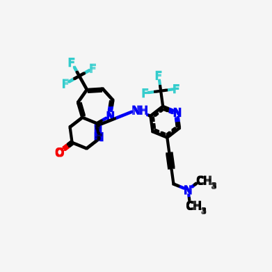 CN(C)CC#Cc1cnc(C(F)(F)F)c(NC2=NC=C3CC(=O)CC4=CC(C(F)(F)F)=CC=NC34N2)c1